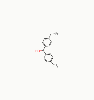 Cc1ccc(C(O)c2ccc(CC(C)C)cc2)cc1